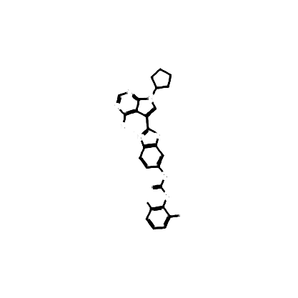 Nc1ncnc2c1c(-c1nc3ccc(NC(=O)Nc4c(F)cccc4F)cc3[nH]1)cn2C1CCCC1